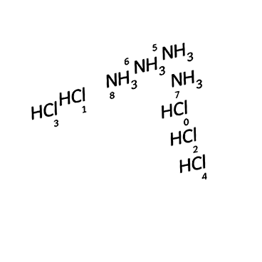 Cl.Cl.Cl.Cl.Cl.N.N.N.N